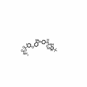 CC(C)(C)c1cc(NC(=O)Nc2ccc(-n3cnc4cc(Oc5ccnc(C(=O)OC(N)=O)c5)ccc43)cc2)[nH]n1